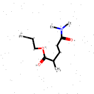 CCN(CC)C(=O)CCC(C)C(=O)OCCC(C)C